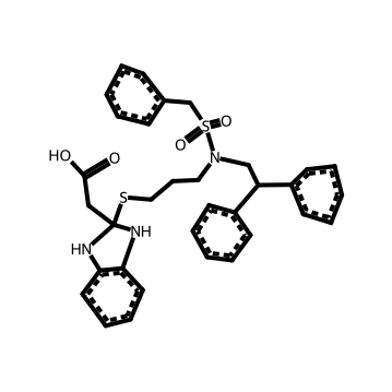 O=C(O)CC1(SCCCN(CC(c2ccccc2)c2ccccc2)S(=O)(=O)Cc2ccccc2)Nc2ccccc2N1